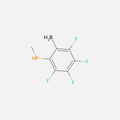 Bc1c(F)c(F)c(F)c(F)c1PC